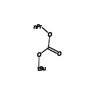 CCCOC(=O)OC(C)(C)C